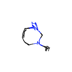 CC(C)N1CC=CNC1